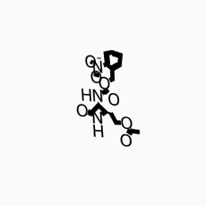 CC(=O)OCC[C@H]1NC(=O)[C@@H]1NC(=O)OCc1ccccc1[N+](=O)[O-]